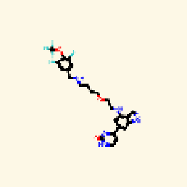 O=c1nc(-c2cc(NCCOCCCCNCc3cc(F)c(OC(F)(F)F)c(F)c3)c3cn[nH]c3c2)cc[nH]1